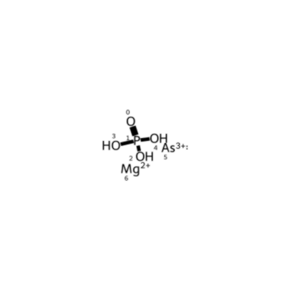 O=P(O)(O)O.[As+3].[Mg+2]